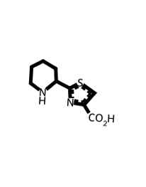 O=C(O)c1csc(C2CCCCN2)n1